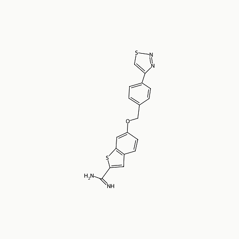 N=C(N)c1cc2ccc(OCc3ccc(-c4csnn4)cc3)cc2s1